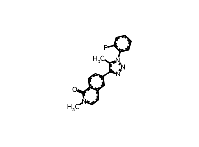 Cc1c(-c2ccc3c(=O)n(C)ccc3c2)nnn1-c1ccccc1F